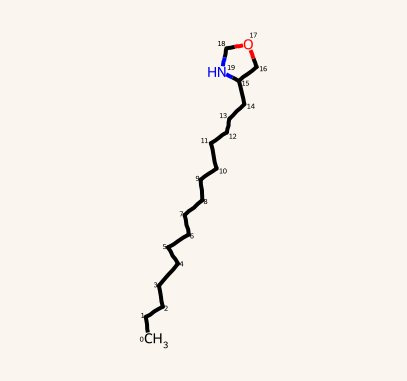 CCCCCCCCCCCCCCCC1COCN1